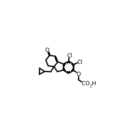 O=C(O)COc1cc2c(c(Cl)c1Cl)C1=CC(=O)CCC1(CC1CC1)C2